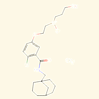 O=C(NCC12CCCC(CCC1)C2)c1cc(OCC[S+]([O-])CCCO)ccc1Cl.[CH2]